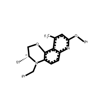 CC[C@@H]1COc2c(ccc3nc(OC(C)C)cc(C(F)(F)F)c23)N1CC(C)C